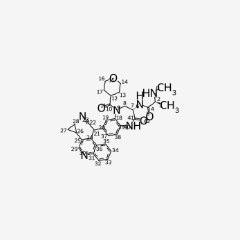 CN[C@@H](C)C(=O)N[C@H]1CN(C(=O)C2CCOCC2)c2cc(C(C#N)c3c(C4CC4)cnc4ccccc34)ccc2NC1=O